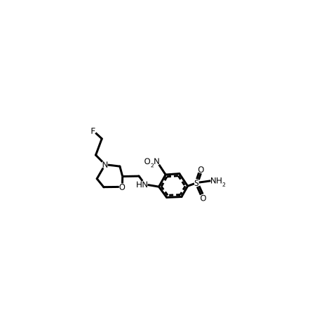 NS(=O)(=O)c1ccc(NCC2CN(CCF)CCO2)c([N+](=O)[O-])c1